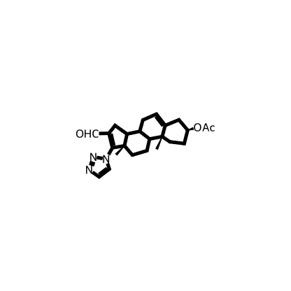 CC(=O)O[C@H]1CC[C@@]2(C)C(=CCC3C2CC[C@]2(C)C(n4ccnn4)=C(C=O)CC32)C1